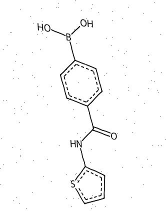 O=C(Nc1cccs1)c1ccc(B(O)O)cc1